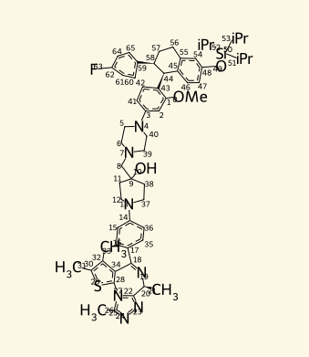 COc1cc(N2CCN(CC3(O)CCN(c4ccc(C5=N[C@@H](C)c6nnc(C)n6-c6sc(C)c(C)c65)cc4)CC3)CC2)ccc1[C@@H]1c2ccc(O[Si](C(C)C)(C(C)C)C(C)C)cc2CC[C@@H]1c1ccc(F)cc1